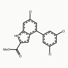 COC(=O)c1cc2c(-c3cc(Cl)cc(Cl)c3)cc(Cl)cc2[nH]1